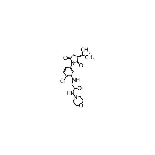 CC(C)=C1CC(=O)N(c2ccc(Cl)c(NCC(=O)NN3CCOCC3)c2)C1=O